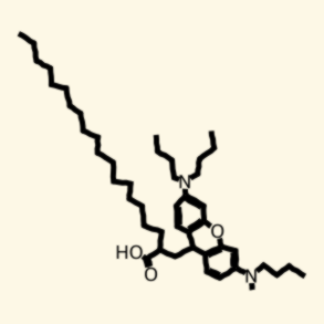 CCCCCCCCCCCCCCCCCCC(CC1c2ccc(N(C)CCCC)cc2Oc2cc(N(CCCC)CCCC)ccc21)C(=O)O